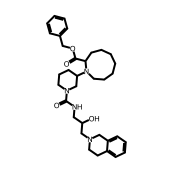 O=C(OCc1ccccc1)C1CCCCCCCN1C1CCCN(C(=O)NCC(O)CN2CCc3ccccc3C2)C1